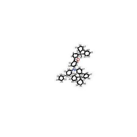 CC1(c2cccc3c2oc2cc(N(c4ccc(-c5ccccc5)cc4)c4ccc5c(c4)C(c4ccccc4)(c4ccccc4)c4ccccc4-5)ccc23)c2ccccc2-c2ccccc21